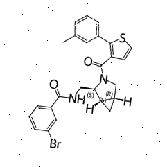 Cc1cccc(-c2sccc2C(=O)N2C[C@@H]3C[C@@H]3[C@H]2CNC(=O)c2cccc(Br)c2)c1